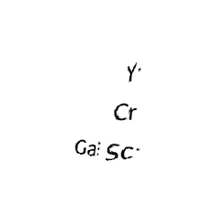 [Cr].[Ga].[Sc].[Y]